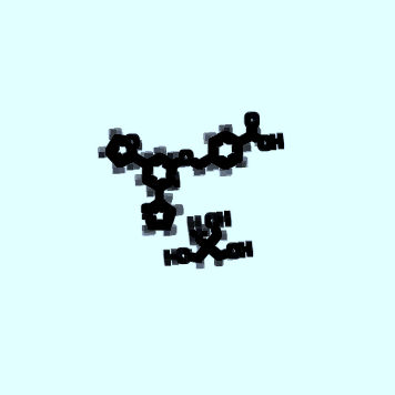 NC(CO)(CO)CO.O=C(O)c1ccc(COc2cc(-c3ccco3)cc(-c3cccs3)n2)cc1